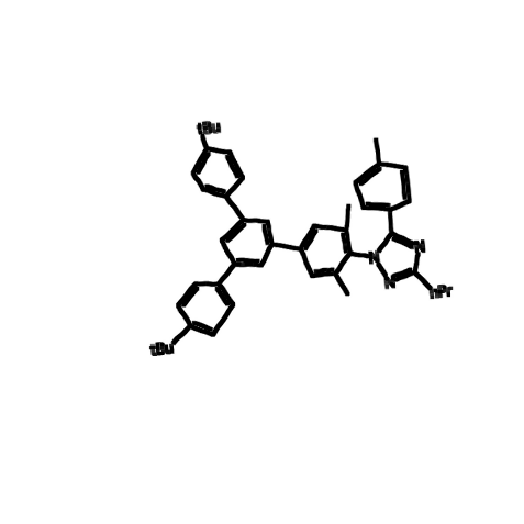 CCCc1nc(-c2ccc(C)cc2)n(-c2c(C)cc(-c3cc(-c4ccc(C(C)(C)C)cc4)cc(-c4ccc(C(C)(C)C)cc4)c3)cc2C)n1